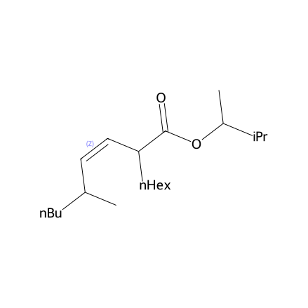 CCCCCCC(/C=C\C(C)CCCC)C(=O)OC(C)C(C)C